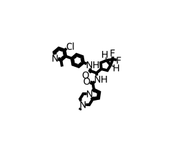 Cc1nccc(Cl)c1-c1ccc(NC(=O)C(NC(=O)c2ccc3n2CCN(C)C3)C2C[C@@H]3[C@H](C2)C3(F)F)cc1